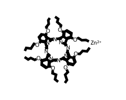 CCCCOc1ccc(OCCCC)c2c1-c1nc-2nc2[n-]c(nc3nc(nc4[n-]c(n1)c1c(OCCCC)ccc(OCCCC)c41)-c1c(OCCCC)ccc(OCCCC)c1-3)c1c(OCCCC)ccc(OCCCC)c21.[Zn+2]